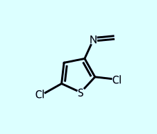 C=Nc1cc(Cl)sc1Cl